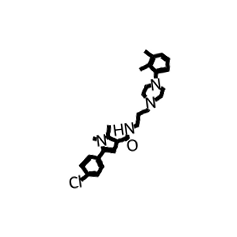 Cc1cccc(N2CCN(CCCNC(=O)C3C=C(c4ccc(Cl)cc4)N(C)C3C)CC2)c1C